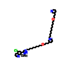 CC(=O)Oc1c(-c2cn(CCCCCCCCCCOCCCc3ccc[n+](CCCCCCCCCCCCOCCCc4cccnc4)c3)nn2)cc(Cl)c2cccnc12